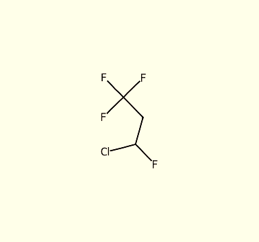 FC(Cl)CC(F)(F)F